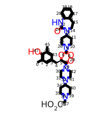 Cc1cc(C[C@@H](OC(=O)N2CCC(N3CCc4ccccc4NC3=O)CC2)C(=O)N2CCN(C3CCN(CC(=O)O)CC3)CC2)cc(C)c1O